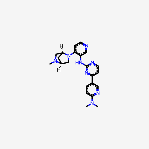 CN(C)c1ccc(-c2ccnc(Nc3cnccc3N3C[C@@H]4C[C@H]3CN4C)n2)cn1